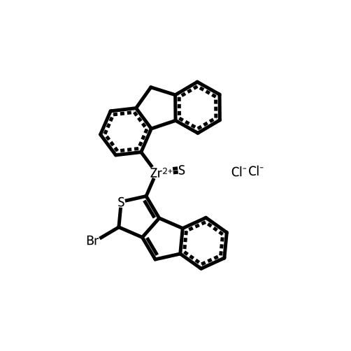 [Cl-].[Cl-].[S]=[Zr+2]([C]1=C2C(=Cc3ccccc32)C(Br)S1)[c]1cccc2c1-c1ccccc1C2